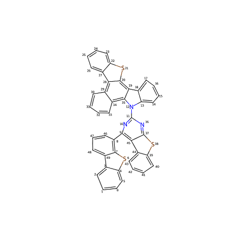 c1ccc2c(c1)sc1c(-c3nc(-n4c5ccccc5c5c6sc7ccccc7c6c6ccccc6c54)nc4sc5ccccc5c34)cccc12